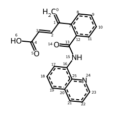 C=C(/C=C/C(=O)O)c1ccccc1C(=O)Nc1cccc2cccnc12